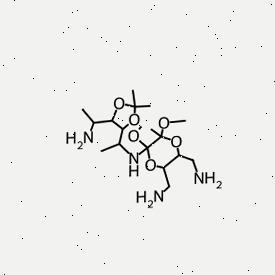 COC1(C)OC(CN)C(CN)OC1(NC(C)C1OC(C)(C)OC1C(C)N)OC